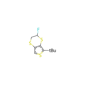 CC(C)(C)c1scc2c1SC(F)CS2